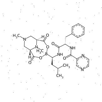 CC(C)C[C@H](NC(=O)[C@H](Cc1ccccc1)NC(=O)c1cnccn1)B1OC(=O)[C@@H]2CN(C)C[C@@H](C(=O)O1)N2C